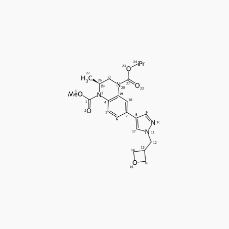 COC(=O)N1c2ccc(-c3cnn(CC4COC4)c3)cc2N(C(=O)OC(C)C)C[C@@H]1C